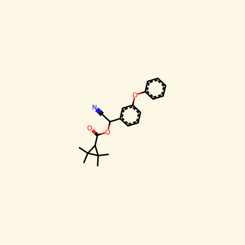 CC1(C)C(C(=O)OC(C#N)c2cccc(Oc3ccccc3)c2)C1(C)C